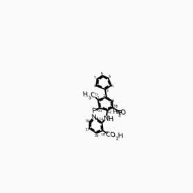 Cc1c(-c2ccccc2)cc(F)c(Nc2ncccc2C(=O)O)c1F.O